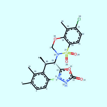 Cc1ccc(F)c([C@@H](C)[C@@H](c2n[nH]c(=O)o2)N2COc3c(ccc(Cl)c3C)S2(=O)=O)c1C